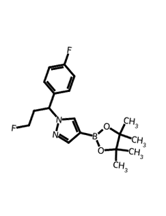 CC1(C)OB(c2cnn(C(CCF)c3ccc(F)cc3)c2)OC1(C)C